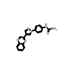 NC(=O)Nc1ccc(-n2cc(-c3cnc4ccccc4n3)cn2)cc1